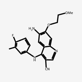 COCCOc1cc2ncc(C#N)c(Nc3ccc(F)c(C)c3)c2cc1N